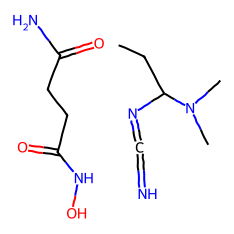 CCC(N=C=N)N(C)C.NC(=O)CCC(=O)NO